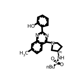 CCCCS(=O)(=O)N[C@@H]1CCN(c2nc(-c3ccccc3O)nc3cc(C)ccc23)C1